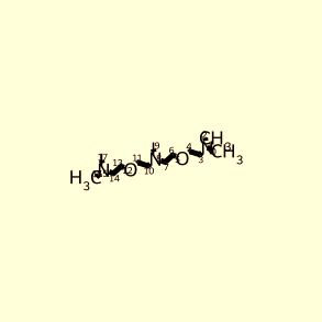 CN(C)CCOCCN(I)CCOCCN(C)I